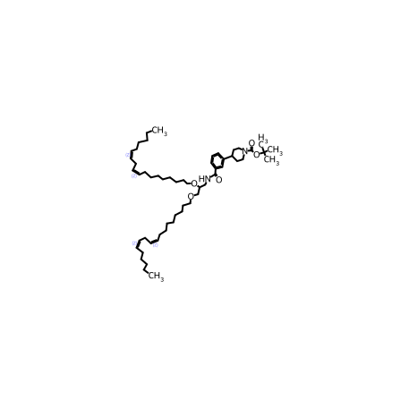 CCCCC/C=C\C/C=C\CCCCCCCCOCC(CNC(=O)c1cccc(C2CCN(C(=O)OC(C)(C)C)CC2)c1)OCCCCCCCC/C=C\C/C=C\CCCCC